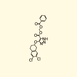 O=C(OCOC(=O)c1[nH]nnc1OC1CCc2cc(Cl)c(Cl)cc2C1)c1ccccc1